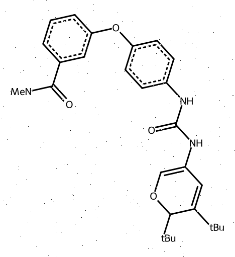 CNC(=O)c1cccc(Oc2ccc(NC(=O)NC3=COC(C(C)(C)C)C(C(C)(C)C)=C3)cc2)c1